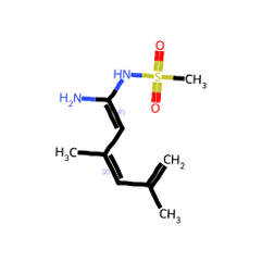 C=C(C)/C=C(C)\C=C(/N)NS(C)(=O)=O